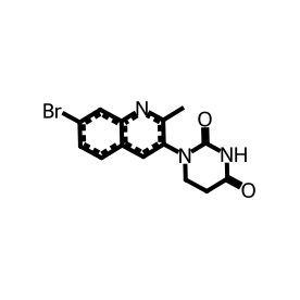 Cc1nc2cc(Br)ccc2cc1N1CCC(=O)NC1=O